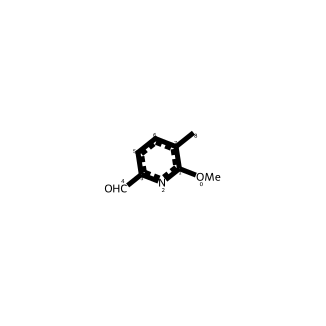 COc1nc(C=O)ccc1C